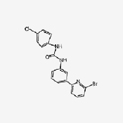 O=C(Nc1ccc(Cl)cc1)Nc1cccc(-c2cccc(Br)n2)c1